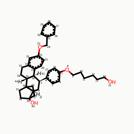 C[C@]12C[C@H](c3ccc(OCCCCCCO)cc3)[C@@H]3c4ccc(OCc5ccccc5)cc4CC[C@H]3C13CCC2(O)CC3